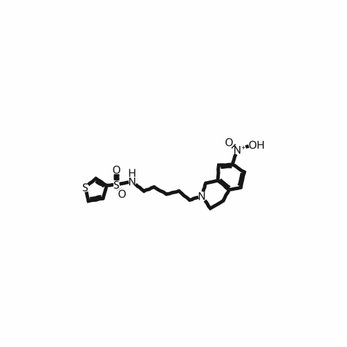 O=[N+](O)c1ccc2c(c1)CN(CCCCCNS(=O)(=O)c1ccsc1)CC2